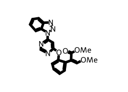 COC=C(C(=O)OC)c1ccccc1Oc1cc(-n2nnc3ccccc32)ncn1